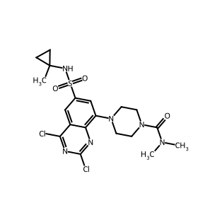 CN(C)C(=O)N1CCN(c2cc(S(=O)(=O)NC3(C)CC3)cc3c(Cl)nc(Cl)nc23)CC1